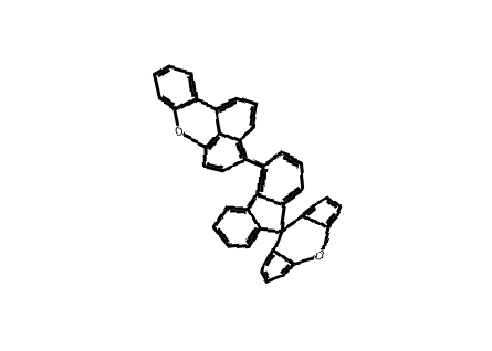 c1ccc2c(c1)Oc1ccc(-c3cccc4c3-c3ccccc3C43c4ccccc4Oc4ccccc43)c3cccc-2c13